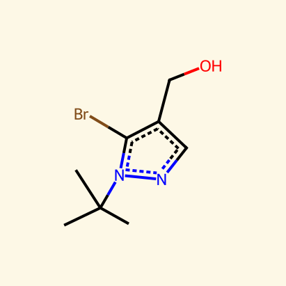 CC(C)(C)n1ncc(CO)c1Br